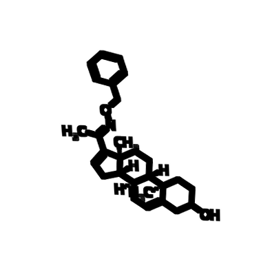 CC(=NOCc1ccccc1)C1=CC[C@H]2[C@@H]3CC=C4CC(O)CC[C@]4(C)[C@H]3CC[C@]12C